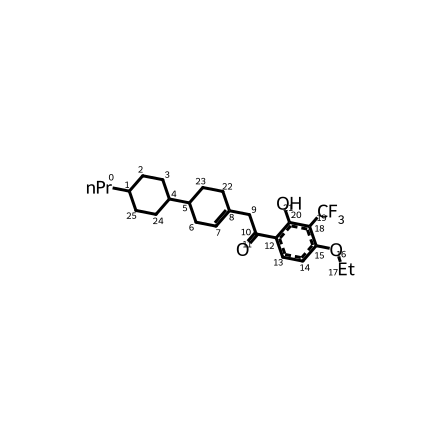 CCCC1CCC(C2CC=C(CC(=O)c3ccc(OCC)c(C(F)(F)F)c3O)CC2)CC1